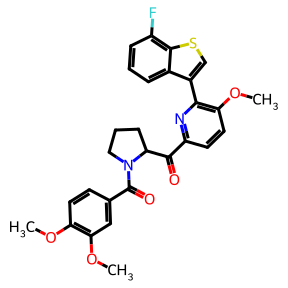 COc1ccc(C(=O)N2CCCC2C(=O)c2ccc(OC)c(-c3csc4c(F)cccc34)n2)cc1OC